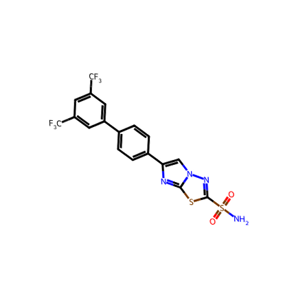 NS(=O)(=O)c1nn2cc(-c3ccc(-c4cc(C(F)(F)F)cc(C(F)(F)F)c4)cc3)nc2s1